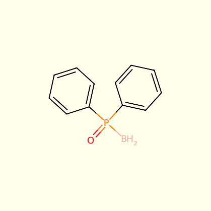 BP(=O)(c1ccccc1)c1ccccc1